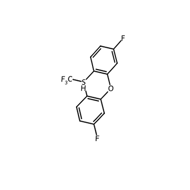 Fc1ccc2c(c1)Oc1cc(F)ccc1[SH]2C(F)(F)F